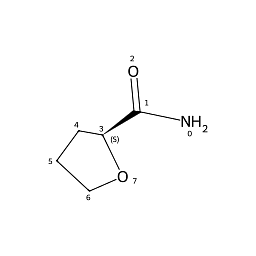 NC(=O)[C@@H]1CCCO1